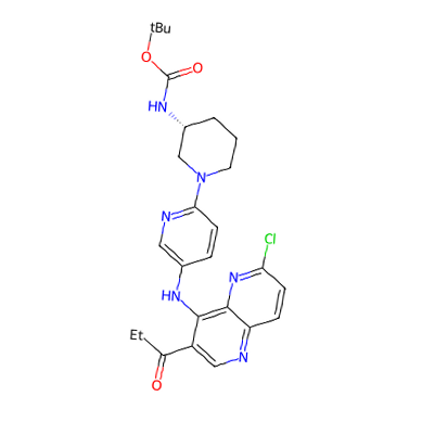 CCC(=O)c1cnc2ccc(Cl)nc2c1Nc1ccc(N2CCC[C@@H](NC(=O)OC(C)(C)C)C2)nc1